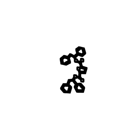 O=C(OC(Cc1ccccc1)c1ccccc1)c1ccc(C(=O)OC(Cc2ccccc2)c2ccccc2)o1